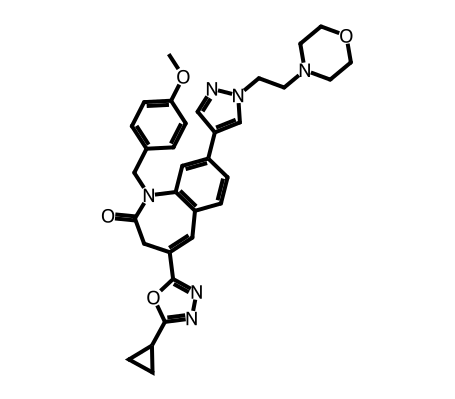 COc1ccc(CN2C(=O)CC(c3nnc(C4CC4)o3)=Cc3ccc(-c4cnn(CCN5CCOCC5)c4)cc32)cc1